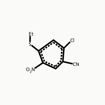 CCSc1cc(Cl)c(C#N)cc1[N+](=O)[O-]